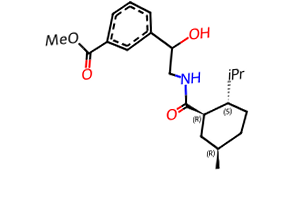 COC(=O)c1cccc(C(O)CNC(=O)[C@@H]2C[C@H](C)CC[C@H]2C(C)C)c1